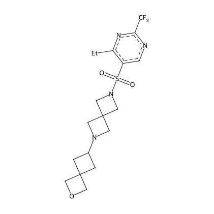 CCc1nc(C(F)(F)F)ncc1S(=O)(=O)N1CC2(CN(C3CC4(COC4)C3)C2)C1